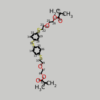 C=C(C)C(=O)OCCOCCSc1ccc(Sc2ccc(SCCOCCOC(=O)C(=C)C)cc2)cc1